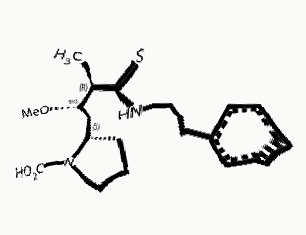 CO[C@H]([C@@H](C)C(=S)NCCc1ccccc1)[C@@H]1CCCN1C(=O)O